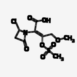 COCC(OS(C)(=O)=O)=C(C(=O)O)N1C(=O)CC1Cl